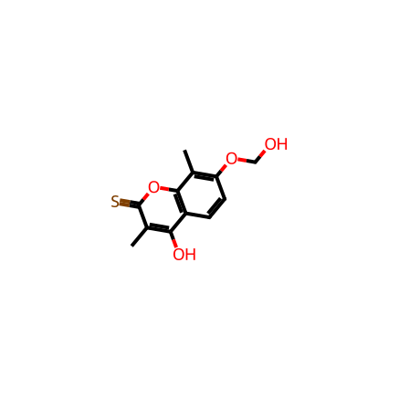 Cc1c(O)c2ccc(OCO)c(C)c2oc1=S